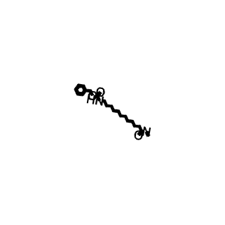 C=NC(=O)CCCCCCCCCCCNC(=O)OCc1ccccc1